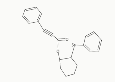 O=C(C#Cc1ccccc1)OC1CCCCC1[Se]c1ccccc1